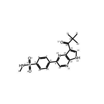 CNS(=O)(=O)c1ccc(-c2cnc3[nH]cc(C(=O)C(C)(C)C)c3n2)cc1